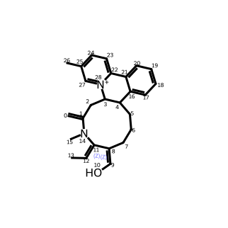 C=C1CC2C(CCCC(=C/O)/C(=C/C)N1C)c1ccccc1-c1ccc(C)c[n+]12